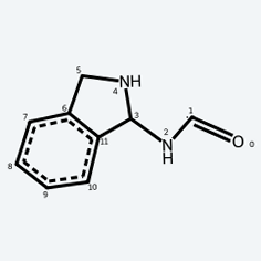 O=[C]NC1NCc2ccccc21